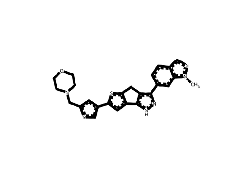 Cn1ncc2ccc(-c3n[nH]c4c3Cc3sc(-c5csc(CN6CCOCC6)c5)cc3-4)cc21